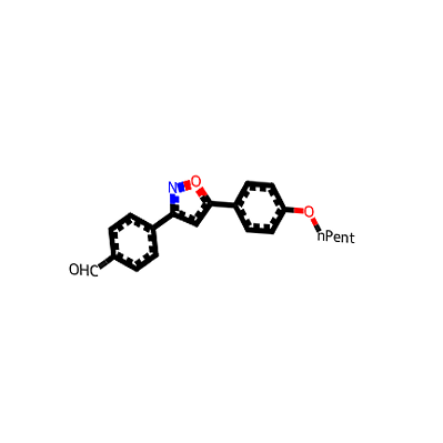 CCCCCOc1ccc(-c2cc(-c3ccc(C=O)cc3)no2)cc1